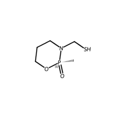 C[P@]1(=O)OCCCN1CS